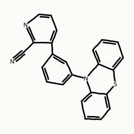 N#Cc1ncccc1-c1cccc(N2c3ccccc3Sc3ccccc32)c1